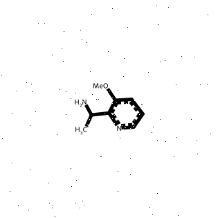 COc1cccnc1C(C)N